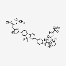 COC(=O)NCC(=O)N1[C@@H]2CC[C@@H](C2)[C@H]1c1nc2ccc(-c3ccc4c(c3)C(F)(F)c3cc(-c5c[nH]c(CN(C=O)CC6(C)CC6)n5)ccc3-4)cc2[nH]1